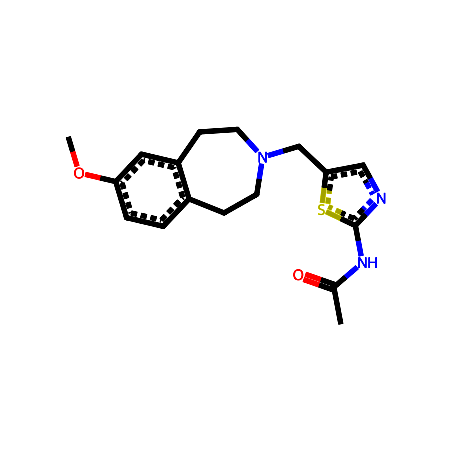 COc1ccc2c(c1)CCN(Cc1cnc(NC(C)=O)s1)CC2